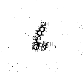 CC(F)(F)C(=O)OC12CC3CC(C1)CC(C(=O)Oc1ccc4cc(O)ccc4c1)(C3)C2